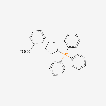 O=C([O-])c1ccccc1.c1ccc([P+](c2ccccc2)(c2ccccc2)C2CCCC2)cc1